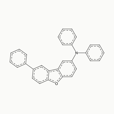 c1ccc(-c2ccc3oc4ccc(N(c5ccccc5)c5ccccc5)cc4c3c2)cc1